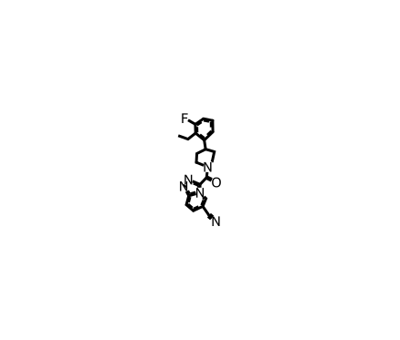 CCc1c(F)cccc1C1CCN(C(=O)c2nnc3ccc(C#N)cn23)CC1